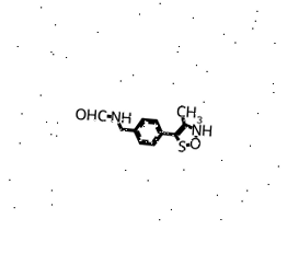 CC1=C(c2ccc(CNC=O)cc2)SON1